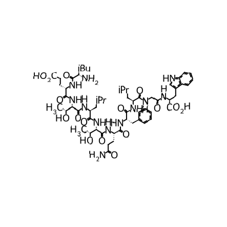 CC[C@H](C)[C@H](N)C(=O)N[C@@H](CCC(=O)O)C(=O)N[C@H](C(=O)N[C@@H](CC(C)C)C(=O)N[C@H](C(=O)N[C@@H](CCC(N)=O)C(=O)N[C@@H](Cc1ccccc1)C(=O)N[C@@H](CC(C)C)C(=O)NCC(=O)N[C@@H](Cc1c[nH]c2ccccc12)C(=O)O)[C@@H](C)O)[C@@H](C)O